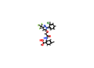 Cc1ccc(C(=O)O)c(NC(=O)COc2cc(C(F)(F)F)nn2-c2ccccc2Cl)c1